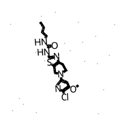 CCCCNC(=O)Nc1nc2c(s1)CN(c1cnc(Cl)c(OC)c1)CC2